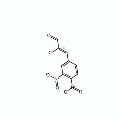 O=C/C(Cl)=C/c1ccc([N+](=O)[O-])c([N+](=O)[O-])c1